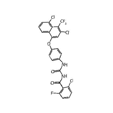 O=C(NC(=O)c1c(F)cccc1Cl)Nc1ccc(Oc2cc(Cl)c(C(F)(F)F)c3c(Cl)cccc23)cc1